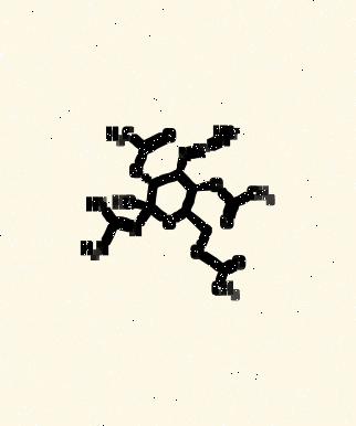 Br.CC(=O)OC[C@H]1O[C@](O)(N=C(N)S)[C@H](OC(C)=O)[C@@H](N=[N+]=[N-])[C@H]1OC(C)=O